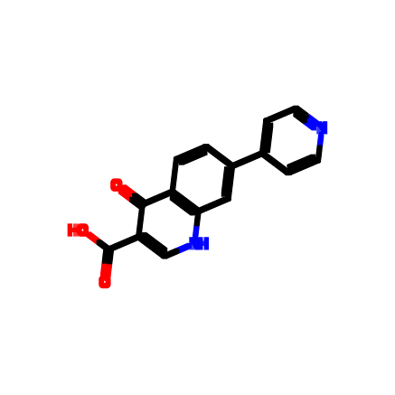 O=C(O)c1c[nH]c2cc(-c3ccncc3)ccc2c1=O